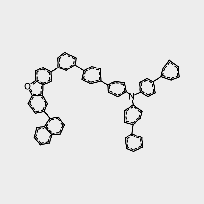 c1ccc(-c2ccc(N(c3ccc(-c4ccccc4)cc3)c3ccc(-c4ccc(-c5cccc(-c6ccc7oc8ccc(-c9cccc%10ccccc9%10)cc8c7c6)c5)cc4)cc3)cc2)cc1